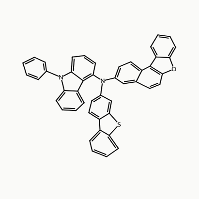 c1ccc(-n2c3ccccc3c3c(N(c4ccc5c(ccc6oc7ccccc7c65)c4)c4ccc5c(c4)sc4ccccc45)cccc32)cc1